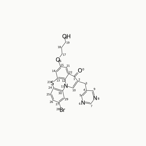 O=c1c(Cc2cncnc2)cn2c3c(cc(OCCCO)cc13)Sc1ccc(Br)cc1-2